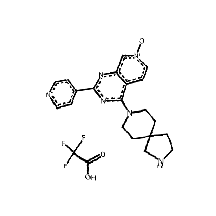 O=C(O)C(F)(F)F.[O-][n+]1ccc2c(N3CCC4(CCNC4)CC3)nc(-c3ccncc3)nc2c1